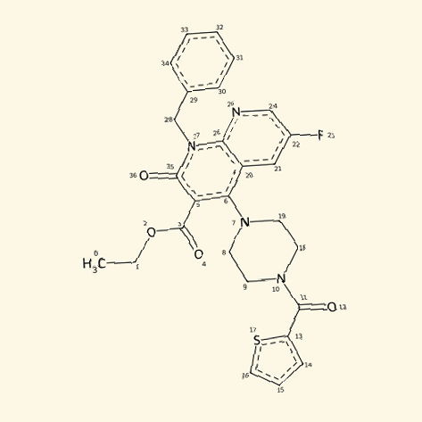 CCOC(=O)c1c(N2CCN(C(=O)c3cccs3)CC2)c2cc(F)cnc2n(Cc2ccccc2)c1=O